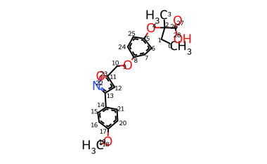 CCC(C)(Oc1ccc(OCc2cc(-c3ccc(OC)cc3)no2)cc1)C(=O)O